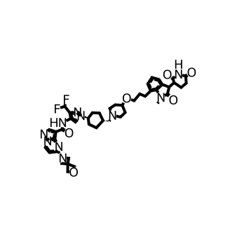 CN1C(=O)C(C2CCC(=O)NC2=O)c2cccc(CCCOC3CCN(C[C@H]4CC[C@H](n5cc(NC(=O)c6cnn7ccc(N8CC9(COC9)C8)nc67)c(C(F)F)n5)CC4)CC3)c21